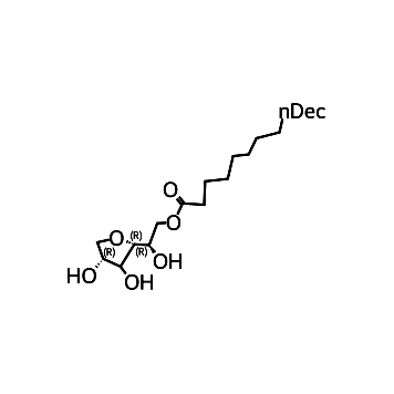 CCCCCCCCCCCCCCCCCC(=O)OC[C@@H](O)[C@H]1OC[C@@H](O)C1O